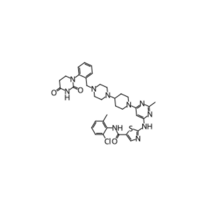 Cc1nc(Nc2ncc(C(=O)Nc3c(C)cccc3Cl)s2)cc(N2CCC(N3CCN(Cc4ccccc4N4CCC(=O)NC4=O)CC3)CC2)n1